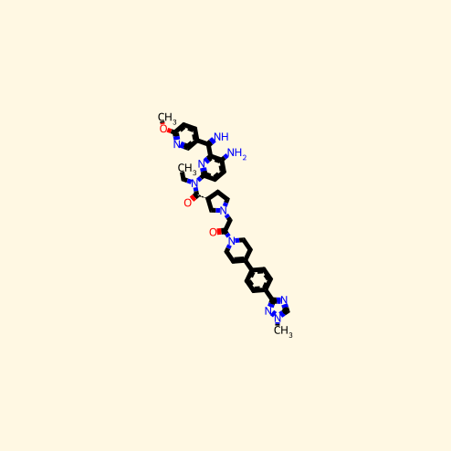 CCN(C(=O)[C@@H]1CCN(CC(=O)N2CC=C(c3ccc(-c4ncn(C)n4)cc3)CC2)C1)c1ccc(N)c(C(=N)c2ccc(OC)nc2)n1